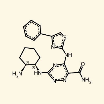 NC(=O)c1nnc(N[C@@H]2CCCC[C@@H]2N)nc1Nc1nc(-c2ccccc2)cs1